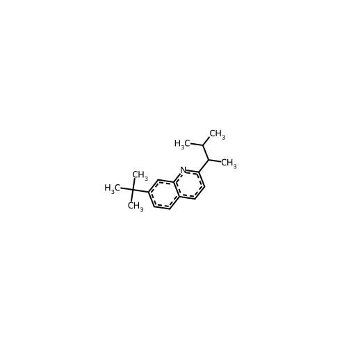 CC(C)C(C)c1ccc2ccc(C(C)(C)C)cc2n1